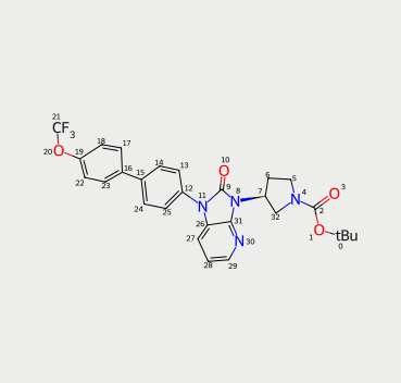 CC(C)(C)OC(=O)N1CC[C@H](n2c(=O)n(-c3ccc(-c4ccc(OC(F)(F)F)cc4)cc3)c3cccnc32)C1